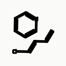 C=CC=CCl.c1ccncc1